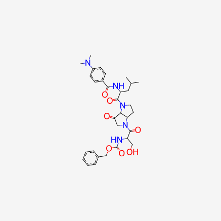 CC(C)CC(NC(=O)c1ccc(N(C)C)cc1)C(=O)N1CCC2C1C(=O)CN2C(=O)C(CO)NC(=O)OCc1ccccc1